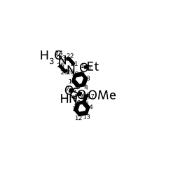 CCOc1ccc(S(=O)(=O)Nc2ccccc2COC)cc1N1CCN(C)CC1